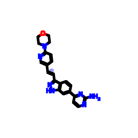 Nc1nccc(-c2ccc3c(/C=C/c4ccc(N5CCOCC5)nc4)n[nH]c3c2)n1